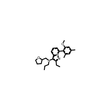 CCCN(CC1CCCO1)c1c(CC)nn2c(-c3c(C)cc(C)cc3OC)cccc12